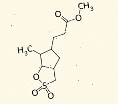 COC(=O)CCC1CC2CS(=O)(=O)OC2C1C